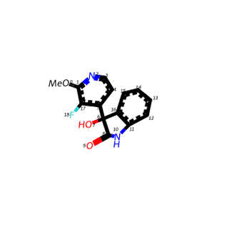 COc1nccc(C2(O)C(=O)Nc3ccccc32)c1F